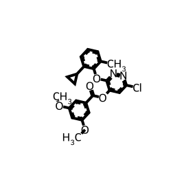 COc1cc(OC)cc(C(=O)Oc2cc(Cl)nnc2Oc2c(C)cccc2C2CC2)c1